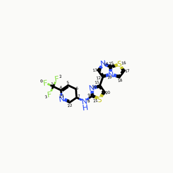 FC(F)(F)C1=CCC(Nc2nc(-c3cnc4sccn34)cs2)C=N1